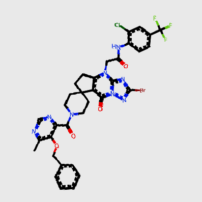 Cc1ncnc(C(=O)N2CCC3(CCc4c3c(=O)n3nc(Br)nc3n4CC(=O)Nc3ccc(C(F)(F)F)cc3Cl)CC2)c1OCc1ccccc1